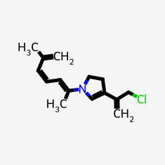 C=C(C)/C=C\C=C(/C)N1C=C(C(=C)CCl)CC1